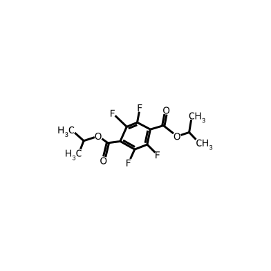 CC(C)OC(=O)c1c(F)c(F)c(C(=O)OC(C)C)c(F)c1F